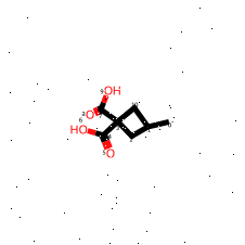 [CH2]C1CC(C(=O)O)(C(=O)O)C1